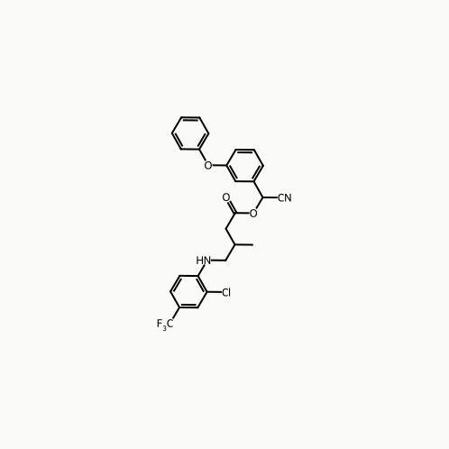 CC(CNc1ccc(C(F)(F)F)cc1Cl)CC(=O)OC(C#N)c1cccc(Oc2ccccc2)c1